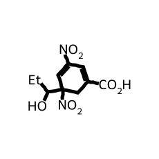 CCC(O)C1([N+](=O)[O-])C=C([N+](=O)[O-])C=C(C(=O)O)C1